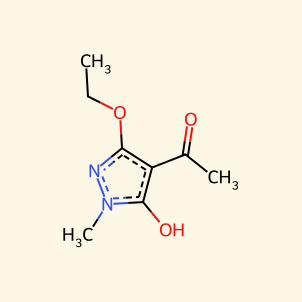 CCOc1nn(C)c(O)c1C(C)=O